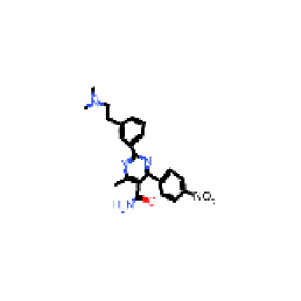 Cc1nc(-c2cccc(CCN(C)C)c2)nc(-c2ccc([N+](=O)[O-])cc2)c1C(N)=O